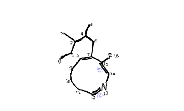 CCC(C)C(C)CC1=CCCC/C=N\C=C/1F